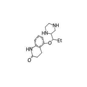 CCC(Oc1cccc2c1CCC(=O)N2)C1CNCCN1